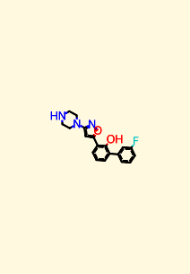 Oc1c(-c2cccc(F)c2)cccc1-c1cc(N2CCNCC2)no1